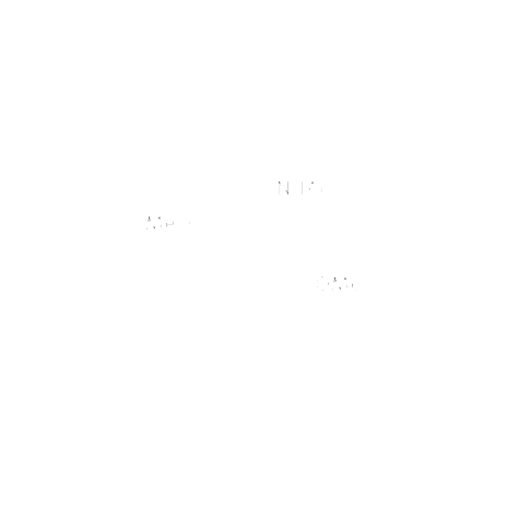 COc1ccc2ccc(OC)c(CCNC(C)=O)c2c1